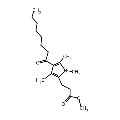 CCCCCCCC(=O)c1c(C)c(CCC(=O)OC)n(C)c1C